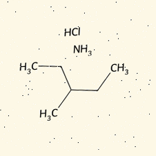 CCC(C)CC.Cl.N